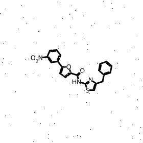 O=C(Nc1nc(Cc2ccccc2)cs1)c1ccc(-c2cccc([N+](=O)[O-])c2)o1